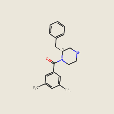 O=C(c1cc(C(F)(F)F)cc(C(F)(F)F)c1)N1CCNC[C@H]1Cc1ccccc1